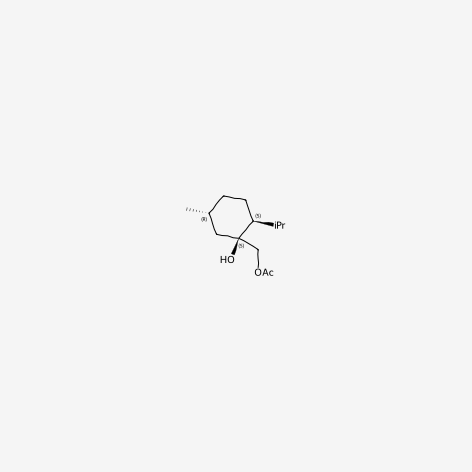 CC(=O)OC[C@]1(O)C[C@H](C)CC[C@H]1C(C)C